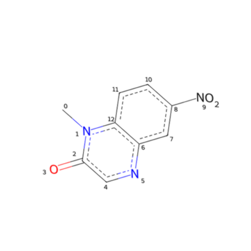 Cn1c(=O)cnc2cc([N+](=O)[O-])ccc21